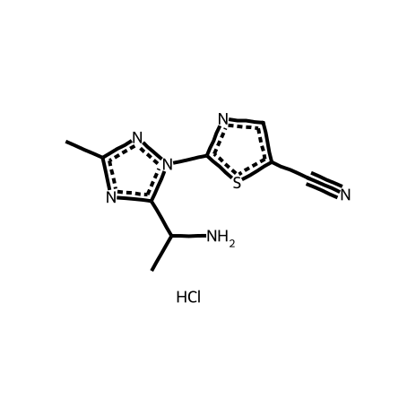 Cc1nc(C(C)N)n(-c2ncc(C#N)s2)n1.Cl